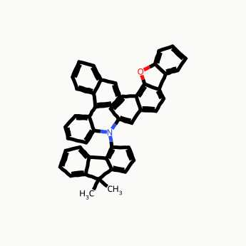 CC1(C)c2ccccc2-c2c(N(c3ccc4c(ccc5c6ccccc6oc45)c3)c3ccccc3-c3cccc4ccccc34)cccc21